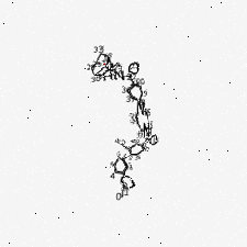 CCOc1cccc(-c2ccc(C(=O)N3CCN(c4ccc(C(=O)NCC56CC7CC(CC(C7)C5)C6)cc4)CC3)cc2C)c1